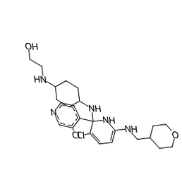 OCCNC1CCC(NC2(c3ccncc3Cl)NC(NCC3CCOCC3)=CC=C2Cl)CC1